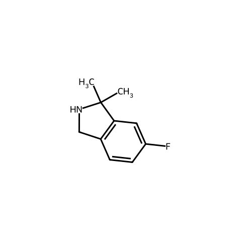 CC1(C)NCc2ccc(F)cc21